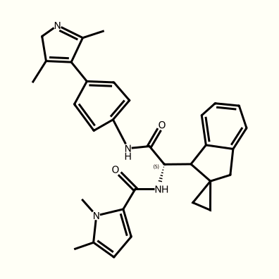 CC1=NCC(C)=C1c1ccc(NC(=O)[C@@H](NC(=O)c2ccc(C)n2C)C2c3ccccc3CC23CC3)cc1